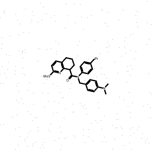 CSc1ccc2c(n1)C(C(=O)N(Cc1ccc(N(C)C)cc1)c1ccc(C(C)C)cc1)CCC2